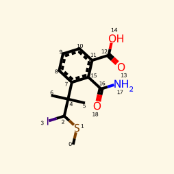 CSC(I)C(C)(C)c1cccc(C(=O)O)c1C(N)=O